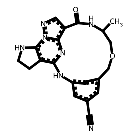 CC1COCc2cc(C#N)cc(c2)Nc2nc3c(cnn3c3c2CCN3)C(=O)N1